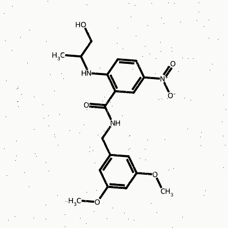 COc1cc(CNC(=O)c2cc([N+](=O)[O-])ccc2NC(C)CO)cc(OC)c1